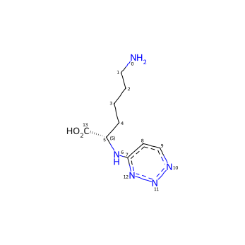 NCCCC[C@H](Nc1ccnnn1)C(=O)O